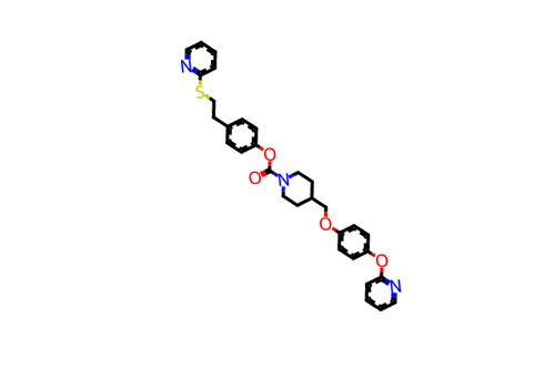 O=C(Oc1ccc(CCSc2ccccn2)cc1)N1CCC(COc2ccc(Oc3ccccn3)cc2)CC1